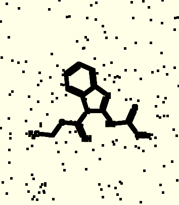 COC(=O)Nc1nc2ccccc2n1C(=N)OCC(F)(F)F